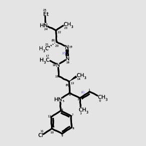 C/C=C(\C)C(Nc1cccc(Cl)c1)[C@H](C)CN(C)/N=N\[C@H](C)C(C)NCC